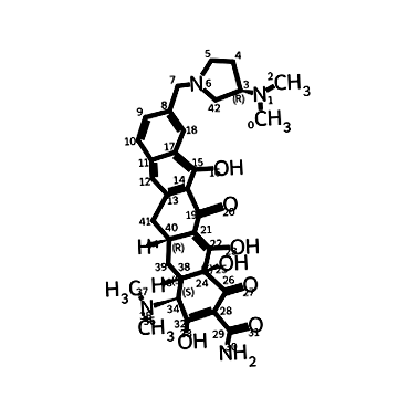 CN(C)[C@@H]1CCN(Cc2ccc3cc4c(c(O)c3c2)C(=O)C2=C(O)[C@]3(O)C(=O)C(C(N)=O)=C(O)[C@@H](N(C)C)[C@@H]3C[C@@H]2C4)C1